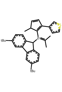 C[C](C)=[Zr]([C]1=C(c2ccsc2)C=CC1C)[CH]1c2ccc(C(C)(C)C)cc2-c2cc(C(C)(C)C)ccc21